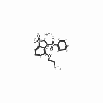 Cl.NCCOc1cccc2c1C(S(=O)(=O)c1ccccc1)CS2(=O)=O